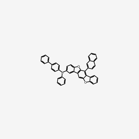 c1ccc(-c2ccc(N(c3ccccc3)c3ccc4oc5c(-c6ccc7ccccc7c6)c6c(cc5c4c3)oc3ccccc36)cc2)cc1